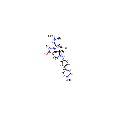 CCn1c(=O)c2cnc(Nc3ccc(N4CCN(C)CC4)cc3)nc2n1C(/C=C(\C)F)=C/N(C=O)C(C)C